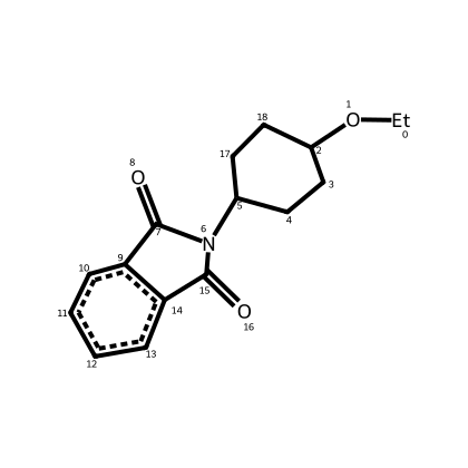 CCOC1CCC(N2C(=O)c3ccccc3C2=O)CC1